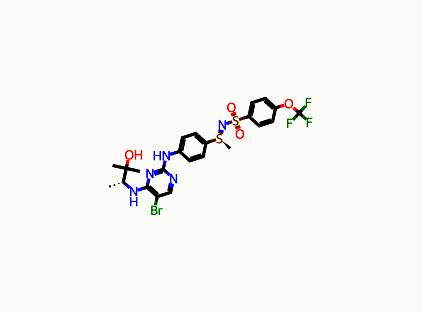 C[C@@H](Nc1nc(Nc2ccc([S@](C)=NS(=O)(=O)c3ccc(OC(F)(F)F)cc3)cc2)ncc1Br)C(C)(C)O